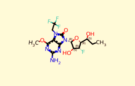 CC[C@H](O)[C@H]1O[C@@H](n2c(=O)n(CC(F)(F)F)c3c(OC)nc(N)nc32)[C@H](O)[C@H]1F